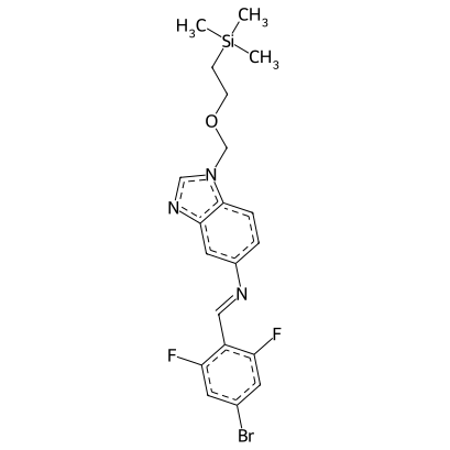 C[Si](C)(C)CCOCn1cnc2cc(N=Cc3c(F)cc(Br)cc3F)ccc21